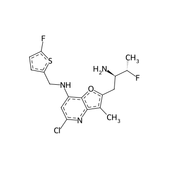 Cc1c(C[C@@H](N)[C@H](C)F)oc2c(NCc3ccc(F)s3)cc(Cl)nc12